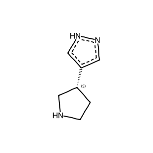 c1n[nH]cc1[C@@H]1CCNC1